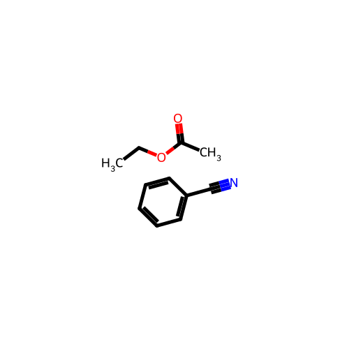 CCOC(C)=O.N#Cc1ccccc1